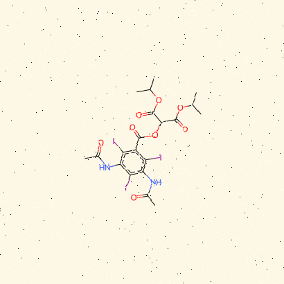 CC(=O)Nc1c(I)c(NC(C)=O)c(I)c(C(=O)OC(C(=O)OC(C)C)C(=O)OC(C)C)c1I